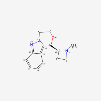 CN1CC[C@H]1C1OCCn2nc3ccccc3c21